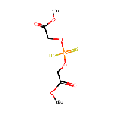 CC(C)(C)OC(=O)COP(=S)(S)OCC(=O)OC(C)(C)C